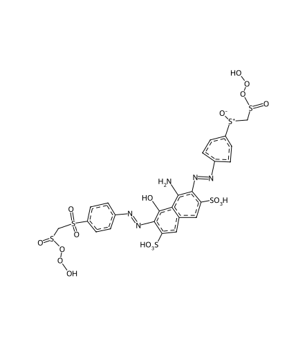 Nc1c(N=Nc2ccc([S+]([O-])CS(=O)OOO)cc2)c(S(=O)(=O)O)cc2cc(S(=O)(=O)O)c(N=Nc3ccc(S(=O)(=O)CS(=O)OOO)cc3)c(O)c12